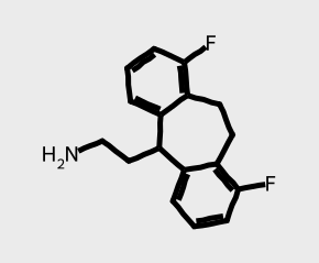 NCCC1c2cccc(F)c2CCc2c(F)cccc21